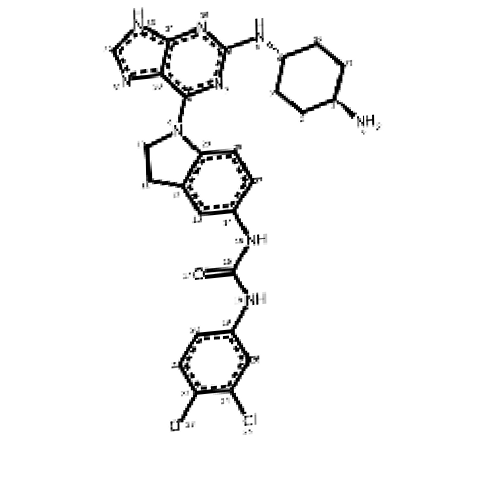 N[C@H]1CC[C@H](Nc2nc(N3CCc4cc(NC(=O)Nc5ccc(Cl)c(Cl)c5)ccc43)c3nc[nH]c3n2)CC1